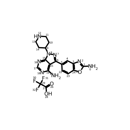 Nc1nc2cc(-c3nn(C4CCNCC4)c4ncnc(N)c34)ccc2o1.O=C(O)C(F)(F)F